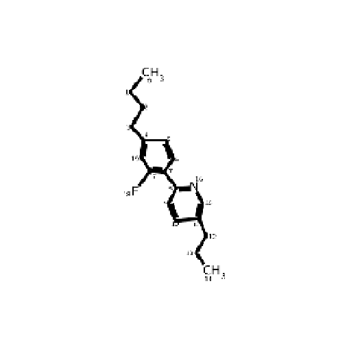 CCCCc1ccc(-c2ccc(CCC)cn2)c(F)c1